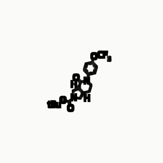 CC(C)(C)OC(=O)N1C[C@H]2CCN(c3ccc(OC(F)(F)F)cc3)C(=O)[C@@H]2C1